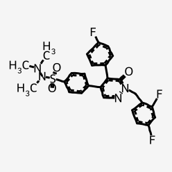 CN(C)N(C)S(=O)(=O)c1ccc(-c2cnn(Cc3ccc(F)cc3F)c(=O)c2-c2ccc(F)cc2)cc1